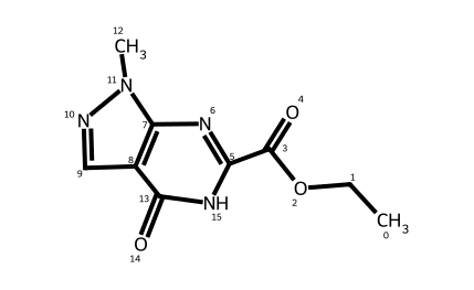 CCOC(=O)c1nc2c(cnn2C)c(=O)[nH]1